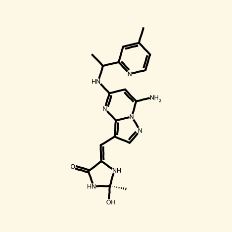 Cc1ccnc(C(C)Nc2cc(N)n3ncc(/C=C4\N[C@@](C)(O)NC4=O)c3n2)c1